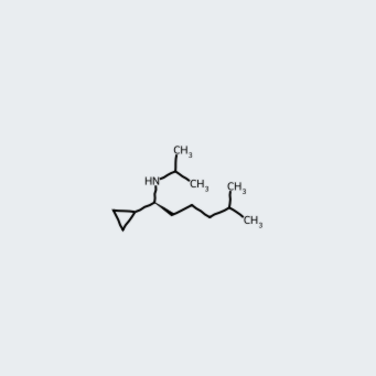 CC(C)CCC[C@H](NC(C)C)C1CC1